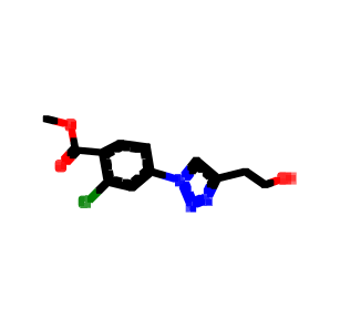 COC(=O)c1ccc(-n2cc(CCO)nn2)cc1Cl